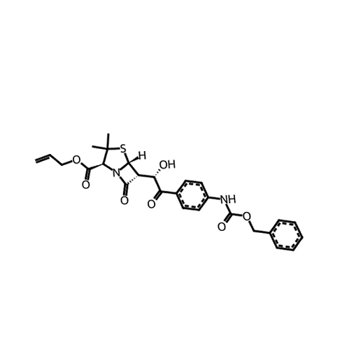 C=CCOC(=O)[C@@H]1N2C(=O)[C@@H]([C@H](O)C(=O)c3ccc(NC(=O)OCc4ccccc4)cc3)[C@H]2SC1(C)C